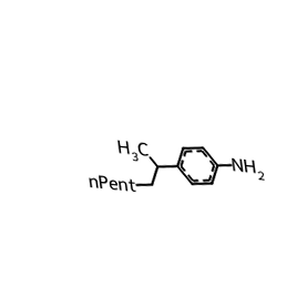 CCCCCCC(C)c1ccc(N)cc1